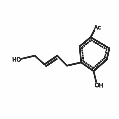 CC(=O)c1ccc(O)c(C/C=C/CO)c1